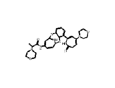 CC(C(=O)NC1=CC2NC(C=C1)SC1C(C3=CC(N4CCOCC4)=CCC(=O)N3)=CC=CC1S2)N1CCOCC1